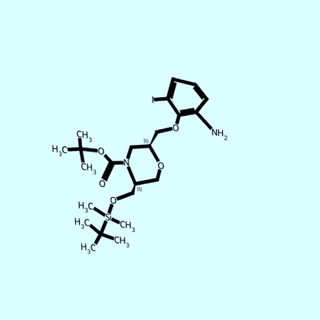 CC(C)(C)OC(=O)N1C[C@@H](COc2c(N)cccc2I)OC[C@H]1CO[Si](C)(C)C(C)(C)C